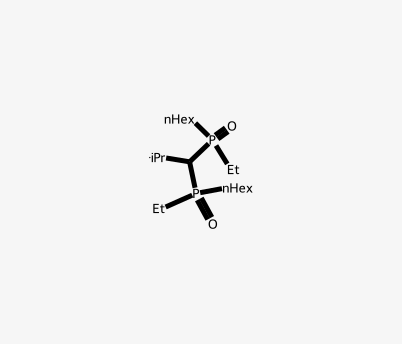 CCCCCCP(=O)(CC)C([C](C)C)P(=O)(CC)CCCCCC